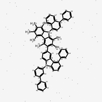 Bc1c(B)c(B)c2c(c1B)c1c(B)c(-c3ccc4c(c3)c3c(-c5ccccc5)cccc3n4-c3cccc(-c4ccccc4)c3)c(B)c(B)c1n2-c1ccc(-c2ccccc2)c2ccccc12